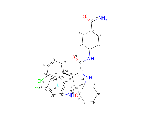 NC(=O)C1CCC(NC(=O)[C@@H]2NC3(CCCCC3)[C@@]3(C(=O)Nc4cc(Cl)ccc43)[C@H]2c2cccc(Cl)c2F)CC1